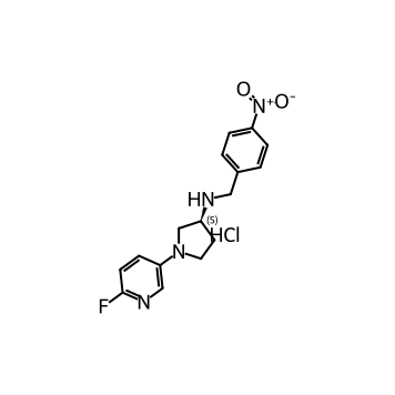 Cl.O=[N+]([O-])c1ccc(CN[C@H]2CCN(c3ccc(F)nc3)C2)cc1